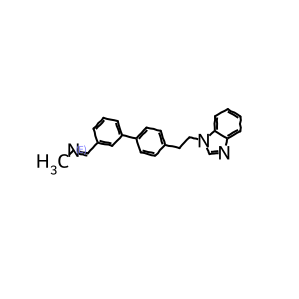 C/N=C/c1cccc(-c2ccc(CCn3cnc4ccccc43)cc2)c1